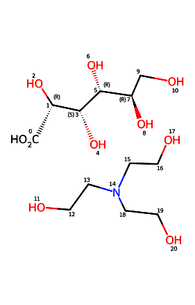 O=C(O)[C@H](O)[C@@H](O)[C@H](O)[C@H](O)CO.OCCN(CCO)CCO